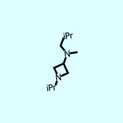 CC(C)CN(C)C1CN(C(C)C)C1